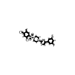 Cc1cc(S(=O)(=O)N2CCN(c3nc(-c4cc(F)cc(F)c4)cs3)CC2)c(Cl)cc1Cl